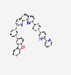 c1ccc(-c2ccc(-c3ccc(-c4ccc5ccc6ccc(-c7cccc(-c8ccc9oc%10ccccc%10c9c8)c7)nc6c5n4)cc3)cn2)nc1